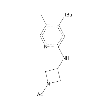 CC(=O)N1CC(Nc2cc(C(C)(C)C)c(C)cn2)C1